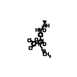 COCCCn1c(=O)nc(-c2ccc(NC(=O)CNC3CC3)cc2)c2oc3c(Cl)cc(Cl)cc3c21